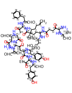 C=CCCC[C@](C)(CC[C@@H](NC(=O)CCC(=O)[C@@H](N)N[C@H](C=O)[C@@H](C)CC)N[C@H](C=O)CC(=O)O)C(=O)N[C@@H](N[C@H](C=O)Cc1ccccc1)C(=O)C[C@@H](N[C@H](C=O)CC(N)=O)C(=O)N[C@@H](N[C@@H](C)C=O)C(=O)C[C@@H](N[C@H](C=O)Cc1ccc(O)cc1)C(=O)N[C@@H](N[C@H](C=O)Cc1ccc(O)cc1)C(=O)CC